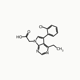 CCc1ncnc2c1c(-c1ccccc1Cl)cn2CC(=O)O